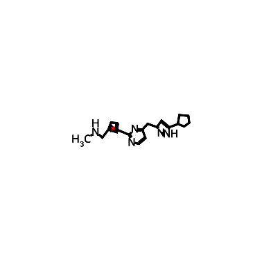 CNCC12CC(C1)N(c1nccc(Cc3cc(C4CCCC4)[nH]n3)n1)C2